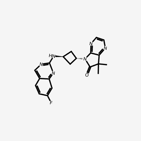 CC1(C)C(=O)N([C@H]2C[C@H](Nc3ncc4ccc(F)cc4n3)C2)c2nccnc21